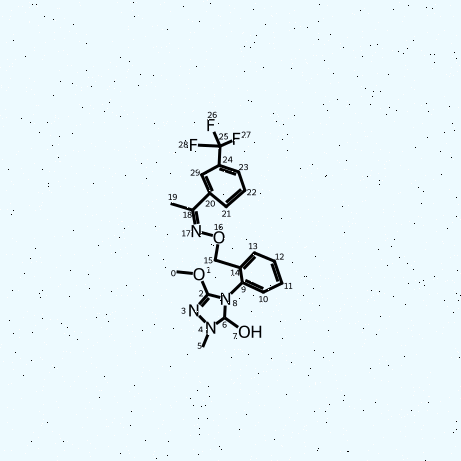 COC1=NN(C)C(O)N1c1ccccc1CON=C(C)c1cccc(C(F)(F)F)c1